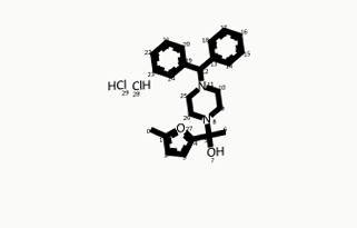 Cc1ccc(C(C)(O)N2CCN(C(c3ccccc3)c3ccccc3)CC2)o1.Cl.Cl